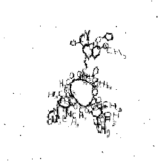 COc1ccc(N(CCS[C@@H]2C(=O)O[C@@]3(C)[C@H]2[C@@H](C)C(=O)[C@H](C)C[C@@](C)(OC)[C@H](O[C@@H]2O[C@H](C)C[C@@H](N4CCOCC4)[C@@H]2N(C)C)[C@@H](C)[C@H](O[C@H]2C[C@@](C)(OC)[C@@H](O)[C@H](C)O2)[C@@H](C)C(=O)O[C@@H]3C)Cc2c(Cl)cncc2Cl)cc1OC1CCCC1